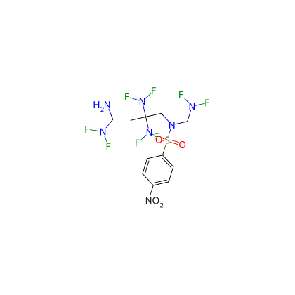 CC(CN(CN(F)F)S(=O)(=O)c1ccc([N+](=O)[O-])cc1)(N(F)F)N(F)F.NCN(F)F